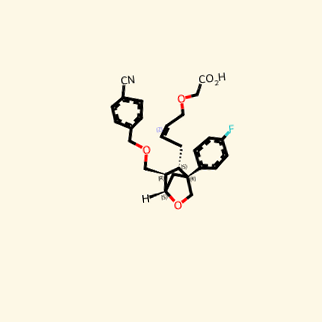 N#Cc1ccc(COC[C@@H]2[C@@H]3C[C@@](c4ccc(F)cc4)(CO3)[C@H]2C/C=C\COCC(=O)O)cc1